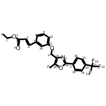 CCOC(=O)/C=C/c1cccc(OCc2nc(-c3ccc(C(F)(F)F)cc3)oc2C)c1